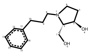 OC[C@H]1[C@H](O)CCN1CCCc1ccccc1